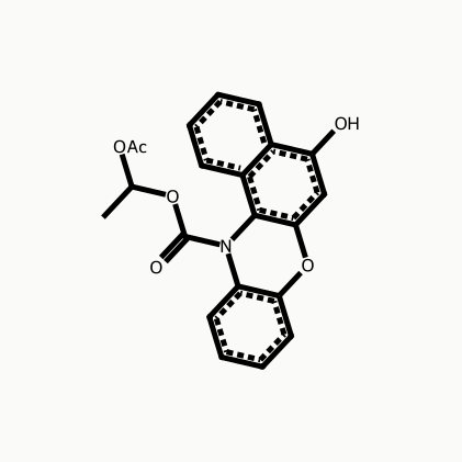 CC(=O)OC(C)OC(=O)N1c2ccccc2Oc2cc(O)c3ccccc3c21